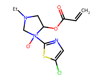 C=CC(=O)OC1CN(CC)C[N+]1([O-])c1ncc(Cl)s1